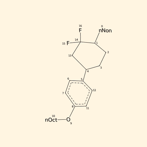 CCCCCCCCCC1CCC(c2ccc(OCCCCCCCC)cc2)CC1(F)F